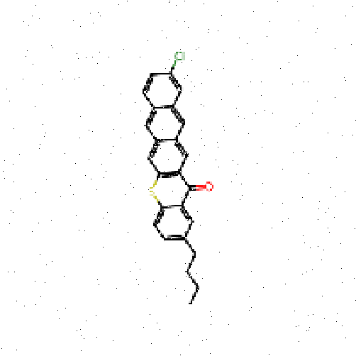 CCCCc1ccc2sc3cc4cc5ccc(Cl)cc5cc4cc3c(=O)c2c1